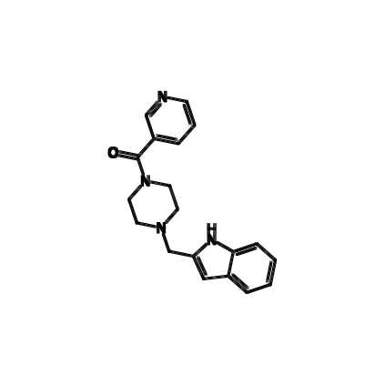 O=C(c1cccnc1)N1CCN(Cc2cc3ccccc3[nH]2)CC1